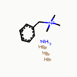 Br.Br.Br.C[N+](C)(C)Cc1ccccc1.N